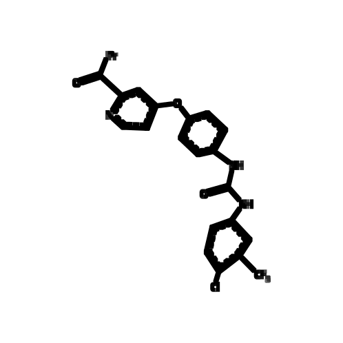 CC(C)C(=O)c1cc(Oc2ccc(NC(=O)Nc3ccc(Cl)c(C(F)(F)F)c3)cc2)ccn1